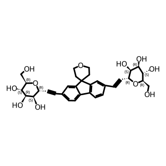 OC[C@H]1O[C@H](C#Cc2ccc3c(c2)C2(CCOCC2)c2cc(C#C[C@H]4O[C@H](CO)[C@@H](O)[C@H](O)[C@@H]4O)ccc2-3)[C@@H](O)[C@@H](O)[C@@H]1O